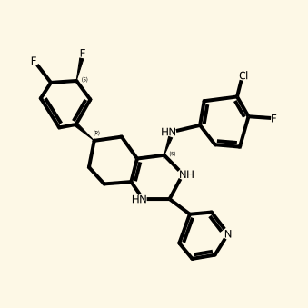 Fc1ccc(N[C@H]2NC(c3cccnc3)NC3=C2C[C@H](C2=C[C@H](F)C(F)C=C2)CC3)cc1Cl